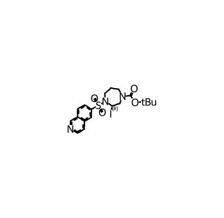 CC(C)(C)OC(=O)N1CCCN(S(=O)(=O)c2ccc3cnccc3c2)[C@H](I)C1